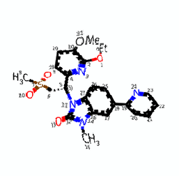 CCOc1nc([C@@H](CS(C)(=O)=O)n2c(=O)n(C)c3cc(-c4ccccn4)ccc32)ccc1OC